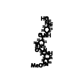 COc1cc(-c2cc(C(=O)N3CCC(C(=O)NC4CCC(C(F)(F)CO)CC4)CC34CC4)n[nH]2)c(F)cn1